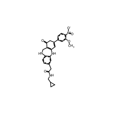 COc1cc(C2=CC3=C(CNc4ccc(CC(=O)NCC5CC5)cc4N3)C(=O)C2)ccc1[N+](=O)[O-]